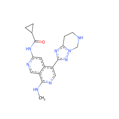 CNc1ncc(-c2nc3n(n2)CNCC3)c2cc(NC(=O)C3CC3)ncc12